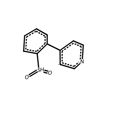 O=[SH](=O)c1ccccc1-c1[c]cncc1